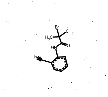 CC(C)(Br)C(=O)Nc1ccccc1C#N